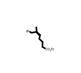 CCOC(=O)CCCC=C(C)CBr